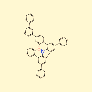 c1ccc(-c2cccc(-c3ccc4c(c3)B3c5ccccc5-c5cc(-c6ccccc6)cc6c7cc(-c8ccccc8)cc-4c7n3c56)c2)cc1